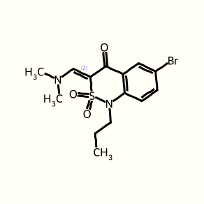 CCCN1c2ccc(Br)cc2C(=O)/C(=C/N(C)C)S1(=O)=O